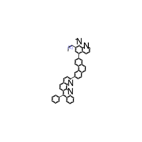 C=Nc1c(/C=C\C)cc(-c2ccc3c(ccc4ccc(-c5ccc6ccc7c(-c8ccccc8)c8ccccc8nc7c6n5)cc43)c2)c2cccnc12